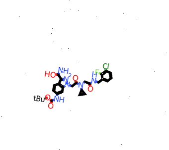 CC(C)(C)OC(=O)Nc1ccc2c(C(N)O)nn(CC(=O)N(CC(=O)NCc3cccc(Cl)c3F)C3CC3)c2c1